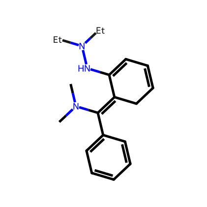 CCN(CC)NC1=CC=CCC1=C(c1ccccc1)N(C)C